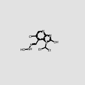 CCC(CC)n1c(O)nc2ncc(Cl)c(C=NNO)c21